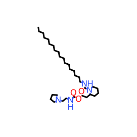 CCCCCCCCCCCCCCCCCCNC(=O)N1CCCCC1CCOC(=O)NCCN1CCCC1